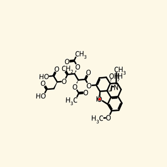 C=C(O[C@@H](CC(=O)O)C(=O)O)[C@H](OC(C)=O)[C@@H](OC(C)=O)C(=O)OC1=CC[C@@]2(O)[C@H]3Cc4ccc(OC)c5c4[C@@]2(CCN3C)[C@H]1O5